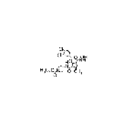 CCOC(=O)N1CCC(NC(=O)c2c(OCc3ccc(Cl)c(Cl)c3)c(C(=O)NO)cn2C)CC1